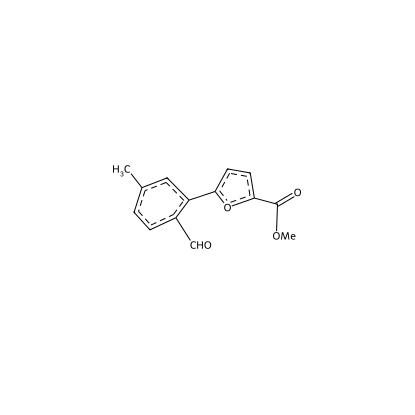 COC(=O)c1ccc(-c2cc(C)ccc2C=O)o1